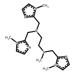 CN(CCN(Cc1nccn1C)Cc1nccn1C)Cc1nccn1C